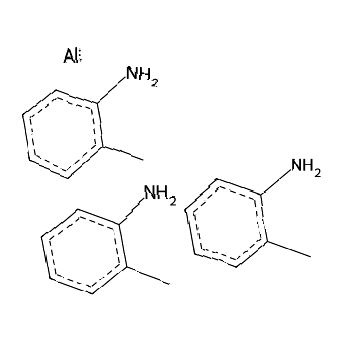 Cc1ccccc1N.Cc1ccccc1N.Cc1ccccc1N.[Al]